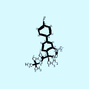 CC(C)(C)OC(=O)[C@@](C)(N)c1ccc(-c2ccc(F)cc2)cc1[N+](=O)[O-]